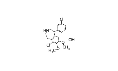 COc1cc2c(c(Cl)c1OC)CCNCC2c1cccc(Cl)c1.Cl